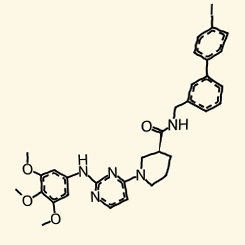 COc1cc(Nc2nccc(N3CCC[C@H](C(=O)NCc4cccc(-c5ccc(I)cc5)c4)C3)n2)cc(OC)c1OC